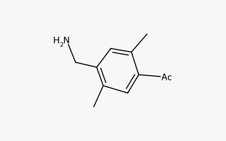 CC(=O)c1cc(C)c(CN)cc1C